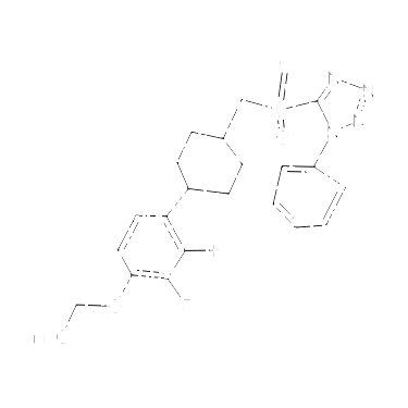 CCOc1ccc(C2CCC(CS(=O)(=O)c3nnnn3-c3ccccc3)CC2)c(F)c1F